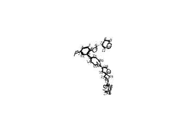 Fc1ccc(OC[C@@H]2CCOC2)c(C2CCN([C@@H]3COC4(C3)CN(c3nncs3)C4)CC2)c1